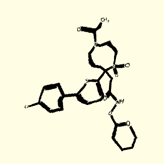 CC(=O)N1CCC(CC(=O)NOC2CCCCO2)(c2ccc(-c3ccc(Cl)cc3)s2)S(=O)(=O)CC1